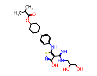 CC(C)C(=O)O[C@H]1CC[C@H](c2ccc(Nc3snc(O)c3C(=N)NCC(O)CO)cc2)CC1